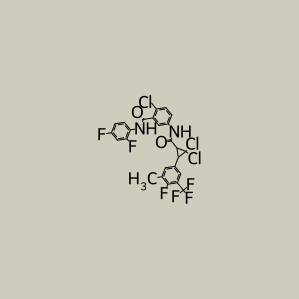 Cc1cc(C2C(C(=O)Nc3ccc(Cl)c(C(=O)Nc4ccc(F)cc4F)c3)C2(Cl)Cl)cc(C(F)(F)F)c1F